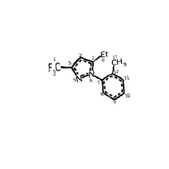 CCc1cc(C(F)(F)F)nn1-c1ccccc1C